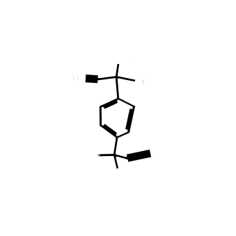 C#CC(C)(O)c1ccc(C(C)(O)C#C)cc1